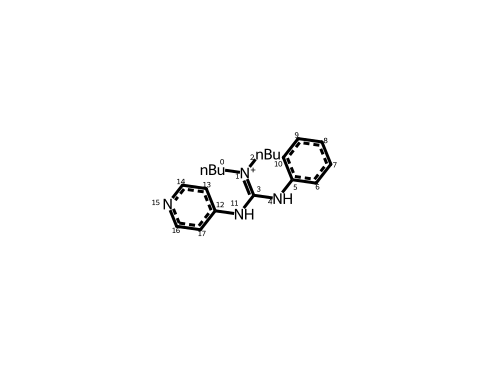 CCCC[N+](CCCC)=C(Nc1ccccc1)Nc1ccncc1